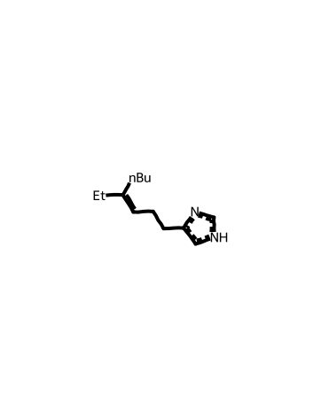 CCCC/C(=C\CCc1c[nH]cn1)CC